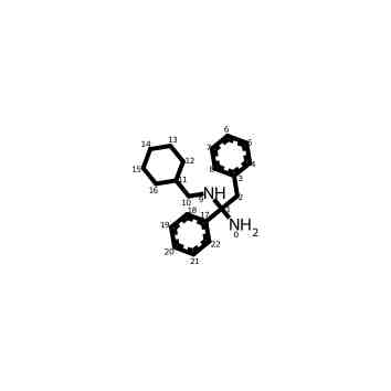 NC(Cc1ccccc1)(NCC1CCCCC1)c1ccccc1